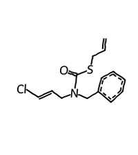 C=CCSC(=O)N(CC=CCl)Cc1ccccc1